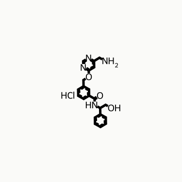 Cl.NCc1cc(OCc2cccc(C(=O)NC(CO)c3ccccc3)c2)ncn1